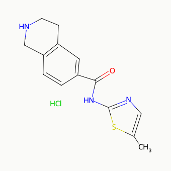 Cc1cnc(NC(=O)c2ccc3c(c2)CCNC3)s1.Cl